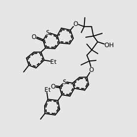 CCc1cc(C)ccc1-c1cc2ccc(OC(C)(C)CC(C)(C)C(O)C(C)(C)CC(C)(C)Oc3ccc4cc(-c5ccc(C)cc5CC)c(=O)sc4c3)cc2sc1=O